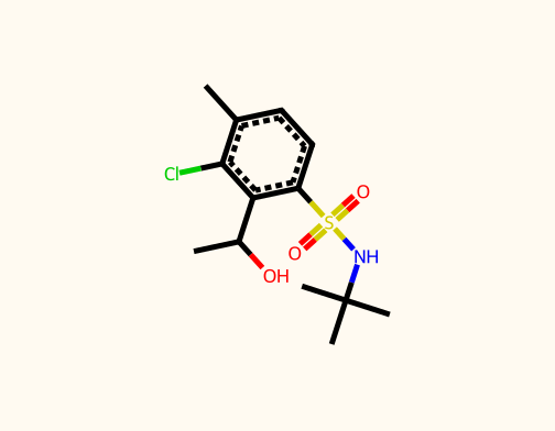 Cc1ccc(S(=O)(=O)NC(C)(C)C)c(C(C)O)c1Cl